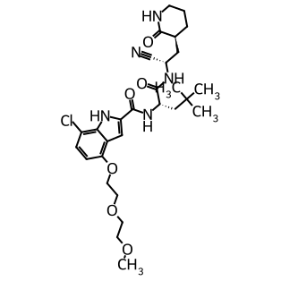 COCCOCCOc1ccc(Cl)c2[nH]c(C(=O)N[C@@H](CC(C)(C)C)C(=O)N[C@H](C#N)C[C@@H]3CCCNC3=O)cc12